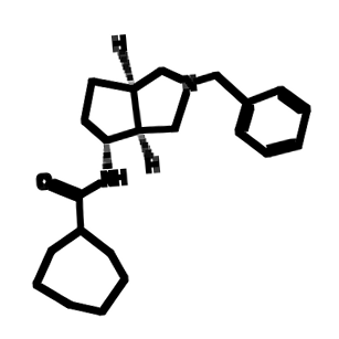 O=C(N[C@@H]1CC[C@H]2CN(Cc3ccccc3)C[C@H]21)C1CCCCCC1